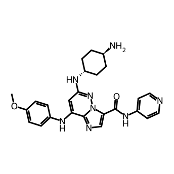 COc1ccc(Nc2cc(N[C@H]3CC[C@H](N)CC3)nn3c(C(=O)Nc4ccncc4)cnc23)cc1